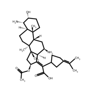 CC(=O)O[C@H]1C[C@@]2(C)[C@H](/C1=C(/C(=O)O)C1CCC(=C(C)C)C1)[C@H](N)C[C@H]1[C@@]3(C)CC[C@@H](O)[C@@H](N)[C@@H]3CC[C@@]12C